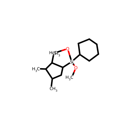 CO[Si](OC)(C1CCCCC1)C1CC(C)C(C)C1C